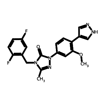 COc1cc(-n2nc(C)n(Cc3cc(F)ccc3F)c2=O)ccc1-c1cn[nH]c1